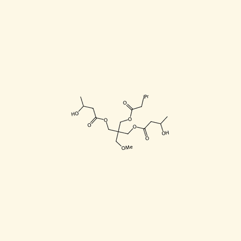 COCC(COC(=O)CC(C)C)(COC(=O)CC(C)O)COC(=O)CC(C)O